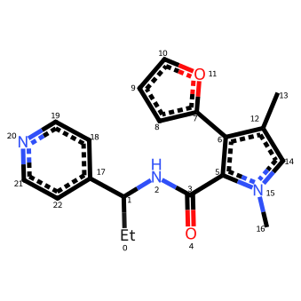 CCC(NC(=O)c1c(-c2ccco2)c(C)cn1C)c1ccncc1